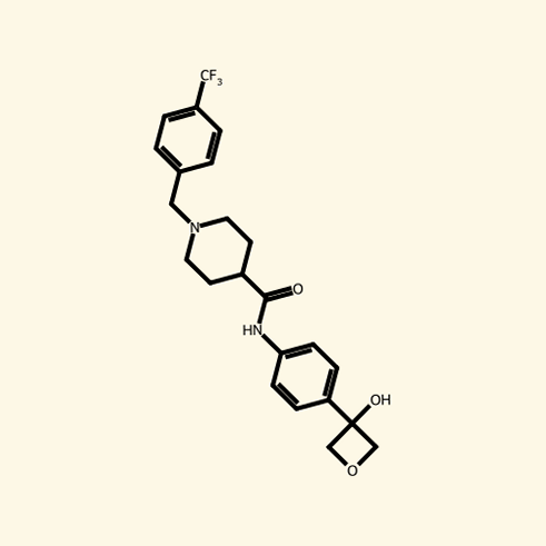 O=C(Nc1ccc(C2(O)COC2)cc1)C1CCN(Cc2ccc(C(F)(F)F)cc2)CC1